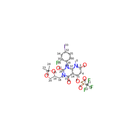 Cn1c(=O)cc(OS(=O)(=O)C(F)(F)F)c2c(=O)n(CC3COC(C)(C)O3)c(=O)n(-c3ccc(I)cc3F)c21